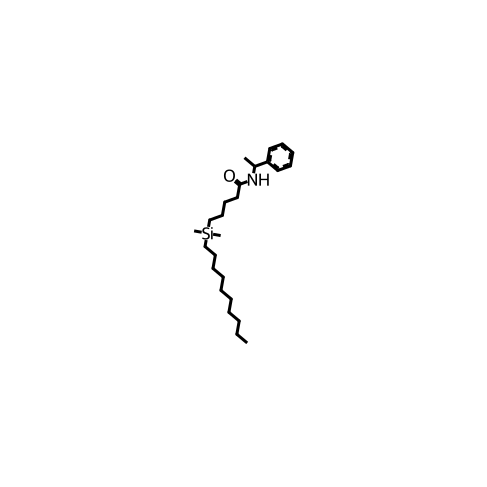 CCCCCCCCCC[Si](C)(C)CCCCC(=O)NC(C)c1ccccc1